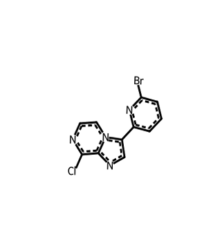 Clc1nccn2c(-c3cccc(Br)n3)cnc12